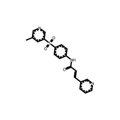 Cc1cncc(S(=O)(=O)c2ccc(NC(=O)C=Cc3cccnc3)cc2)c1